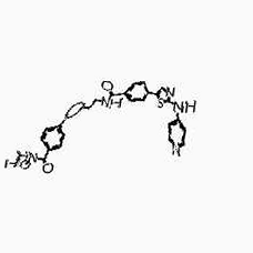 O=C(NO)c1ccc(OCCNC(=O)c2ccc(-c3cnc(Nc4ccncc4)s3)cc2)cc1